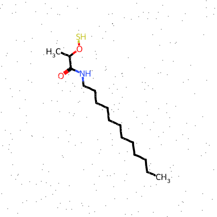 CCCCCCCCCCCCNC(=O)C(C)OS